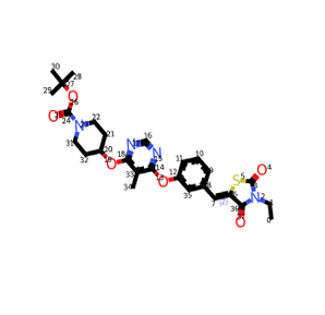 CCN1C(=O)S/C(=C\c2cccc(Oc3ncnc(OC4CCN(C(=O)OC(C)(C)C)CC4)c3C)c2)C1=O